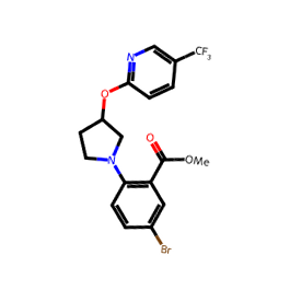 COC(=O)c1cc(Br)ccc1N1CCC(Oc2ccc(C(F)(F)F)cn2)C1